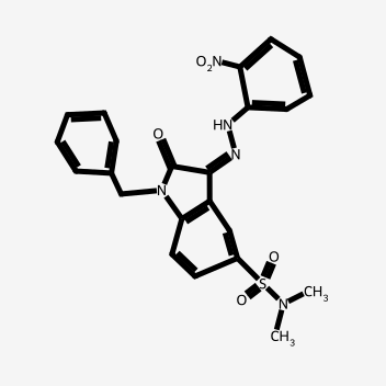 CN(C)S(=O)(=O)c1ccc2c(c1)C(=NNc1ccccc1[N+](=O)[O-])C(=O)N2Cc1ccccc1